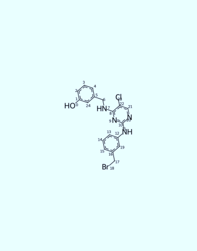 Oc1cccc(CNc2nc(Nc3cccc(CBr)c3)ncc2Cl)c1